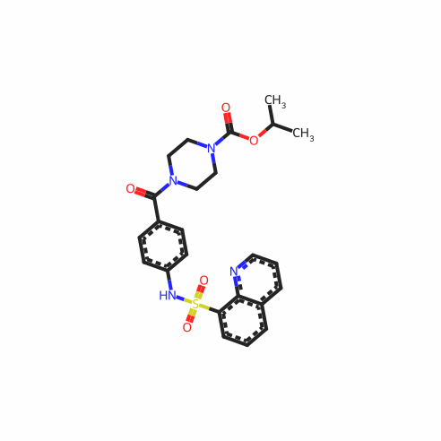 CC(C)OC(=O)N1CCN(C(=O)c2ccc(NS(=O)(=O)c3cccc4cccnc34)cc2)CC1